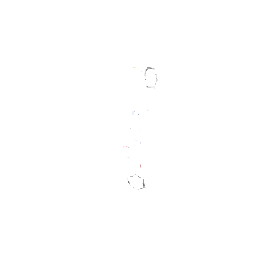 O=C(COc1ccc(Cl)c(F)c1)NC1=CC(NC(=O)[C@H]2C[C@H](O)c3cc(Cl)c(F)cc3O2)C1